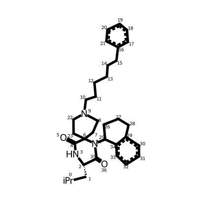 CC(C)C[C@@H]1NC(=O)C2(CCN(CCCCCCc3ccccc3)CC2)N(C2CCCc3ccccc32)C1=O